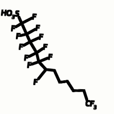 O=S(=O)(O)C(F)(F)C(F)(F)C(F)(F)C(F)(F)C(F)(F)C(F)CCCCCC(F)(F)F